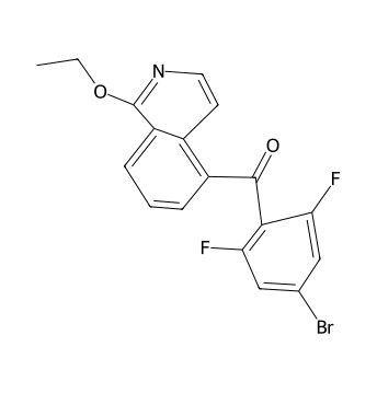 CCOc1nccc2c(C(=O)c3c(F)cc(Br)cc3F)cccc12